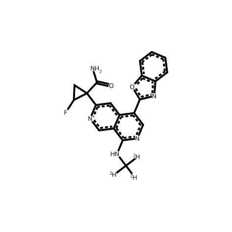 [2H]C([2H])([2H])Nc1ncc(-c2nc3ccccc3o2)c2cc(C3(C(N)=O)CC3F)ncc12